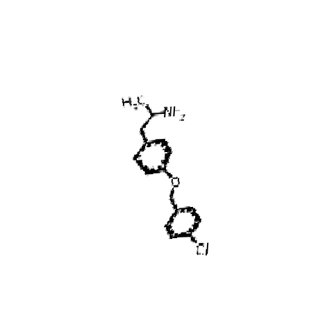 CC(N)Cc1ccc(OCc2ccc(Cl)cc2)cc1